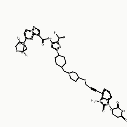 Cn1c(=O)n([C@@H]2CCC(=O)NC2=O)c2cccc(C#CCOC3CCN(CC4CCC(n5cc(NC(=O)c6cnn7ccc(N8C[C@H]9C[C@@H]8CO9)nc67)c(C(F)F)n5)CC4)CC3)c21